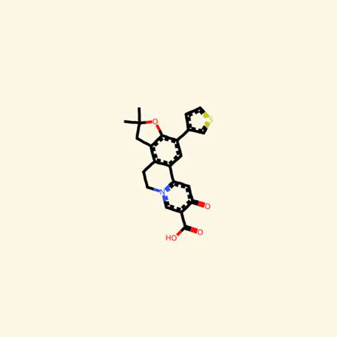 CC1(C)Cc2c3c(cc(-c4ccsc4)c2O1)-c1cc(=O)c(C(=O)O)cn1CC3